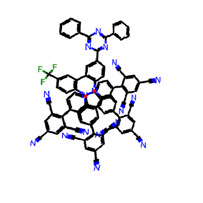 N#Cc1cc(C#N)c(-c2ccc3c(c2)c2cc(-c4c(C#N)cc(C#N)cc4C#N)ccc2n3-c2ccc(-c3nc(-c4ccccc4)nc(-c4ccccc4)n3)cc2-c2cc(C(F)(F)F)ccc2-n2c3ccc(-c4c(C#N)cc(C#N)cc4C#N)cc3c3cc(-c4c(C#N)cc(C#N)cc4C#N)ccc32)c(C#N)c1